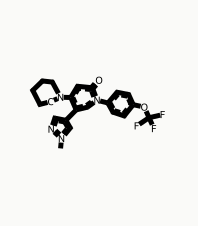 Cn1cc(-c2cn(-c3ccc(OC(F)(F)F)cc3)c(=O)cc2N2CCCCC2)cn1